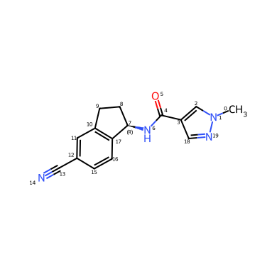 Cn1cc(C(=O)N[C@@H]2CCc3cc(C#N)ccc32)cn1